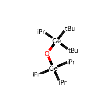 C[CH](C)[Ge]([O][Ge]([CH](C)C)([C](C)(C)C)[C](C)(C)C)([CH](C)C)[CH](C)C